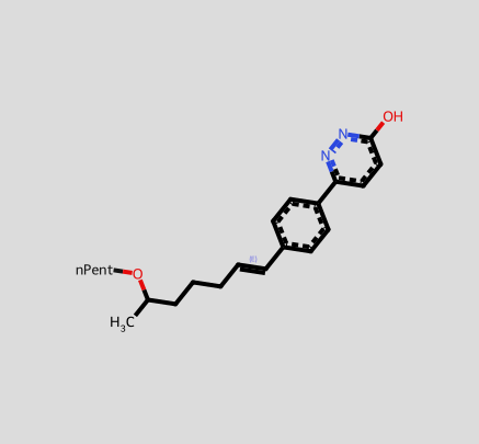 CCCCCOC(C)CCC/C=C/c1ccc(-c2ccc(O)nn2)cc1